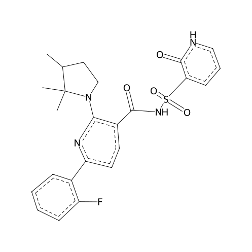 CC1CCN(c2nc(-c3ccccc3F)ccc2C(=O)NS(=O)(=O)c2ccc[nH]c2=O)C1(C)C